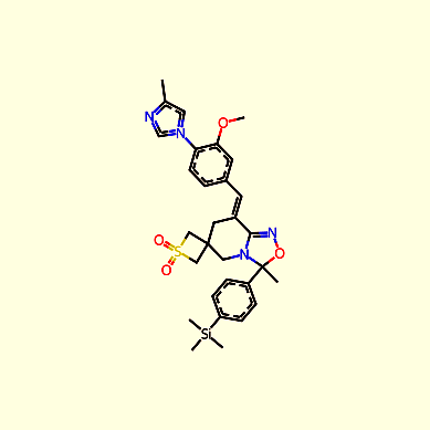 COc1cc(/C=C2\CC3(CN4C2=NOC4(C)c2ccc([Si](C)(C)C)cc2)CS(=O)(=O)C3)ccc1-n1cnc(C)c1